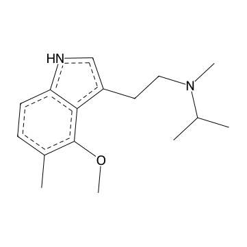 COc1c(C)ccc2[nH]cc(CCN(C)C(C)C)c12